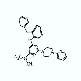 CN(C)c1cc(Nc2ccccc2CC2=CC=CCC2)nc(N2CCN(c3ccccn3)CC2)n1